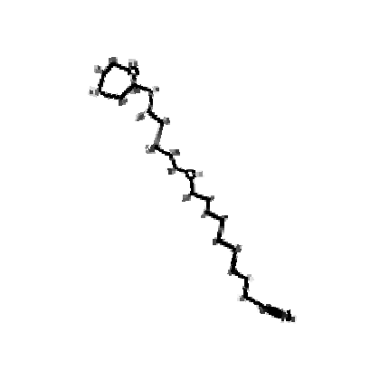 N#CCCCCCCCCCOCCCCCCC1CCCCO1